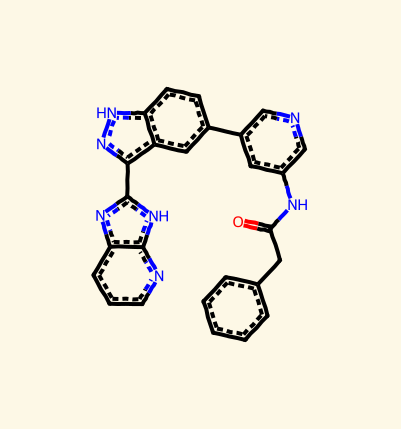 O=C(Cc1ccccc1)Nc1cncc(-c2ccc3[nH]nc(-c4nc5cccnc5[nH]4)c3c2)c1